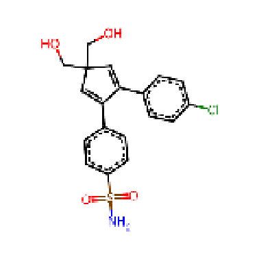 NS(=O)(=O)c1ccc(C2=CC(CO)(CO)C=C2c2ccc(Cl)cc2)cc1